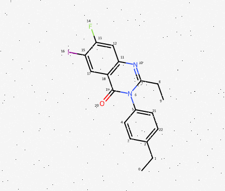 CCc1ccc(-n2c(CC)nc3cc(F)c(I)cc3c2=O)cc1